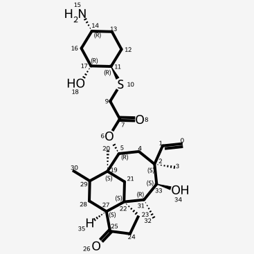 C=C[C@]1(C)C[C@@H](OC(=O)CS[C@@H]2CC[C@@H](N)C[C@H]2O)[C@@]2(C)C[C@@]3(CCC(=O)[C@H]3CC2C)[C@@H](C)[C@@H]1O